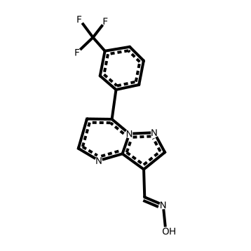 ON=Cc1cnn2c(-c3cccc(C(F)(F)F)c3)ccnc12